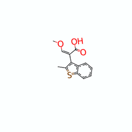 COC=C(C(=O)O)c1c(C)sc2ccccc12